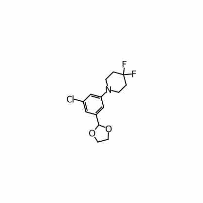 FC1(F)CCN(c2cc(Cl)cc(C3OCCO3)c2)CC1